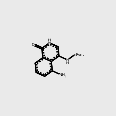 CCCCCNc1c[nH]c(=O)c2cccc(N)c12